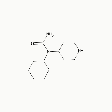 NC(=O)N(C1CCCCC1)C1CCNCC1